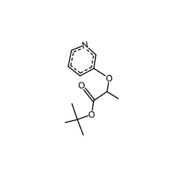 CC(Oc1cccnc1)C(=O)OC(C)(C)C